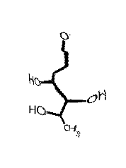 CC(O)C(O)C(O)CC[O]